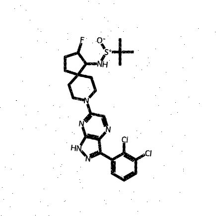 CC(C)(C)[S+]([O-])NC1C(F)CCC12CCN(c1cnc3c(-c4cccc(Cl)c4Cl)n[nH]c3n1)CC2